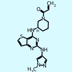 C=CC(=O)N1CCC[C@@H](Nc2nc(Nc3cnn(C)c3)nc3ccsc23)C1